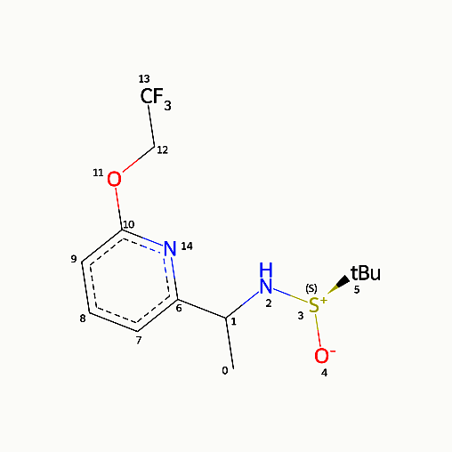 CC(N[S@+]([O-])C(C)(C)C)c1cccc(OCC(F)(F)F)n1